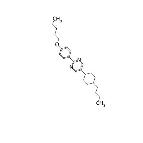 CCCCCOc1ccc(-c2ncc(C3CCC(CCCC)CC3)cn2)cc1